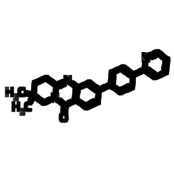 CC1(C)CCc2nc3cc(-c4ccc(-c5ccccn5)cc4)ccc3c(=O)n2C1